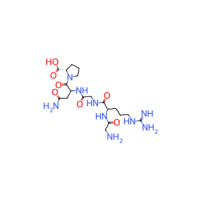 N=C(N)NCCCC(NC(=O)CN)C(=O)NCC(=O)NC(CC(N)=O)C(=O)N1CCC[C@H]1C(=O)O